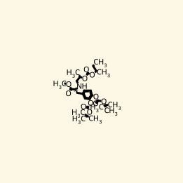 CCC(C)OC(=O)OC(C)CN[C@@H](Cc1ccc(OC(=O)OC(C)(C)C)c(OC(=O)OC(C)(C)C)c1)C(=O)OC